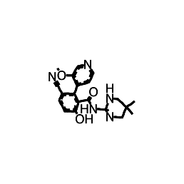 COc1cnccc1-c1c(C#N)ccc(O)c1C(=O)NC1=NCC(C)(C)CN1